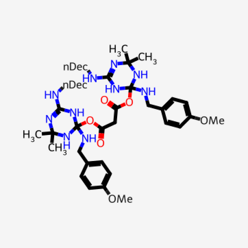 CCCCCCCCCCNC1=NC(C)(C)NC(NCc2ccc(OC)cc2)(OC(=O)CC(=O)OC2(NCc3ccc(OC)cc3)NC(NCCCCCCCCCC)=NC(C)(C)N2)N1